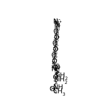 CC(=O)NCCC[SiH2]O[SiH2]CSc1ncc(COCCOCCOCCOCCOCCOCCN=[N+]=[N-])cn1